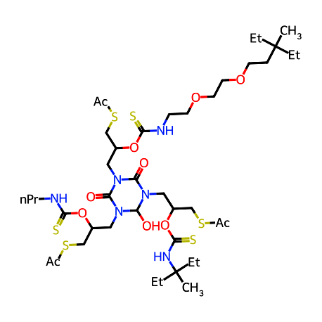 CCCNC(=S)OC(CSC(C)=O)CN1C(=O)N(CC(CSC(C)=O)OC(=S)NCCOCCOCCC(C)(CC)CC)C(=O)N(CC(CSC(C)=O)OC(=S)NC(C)(CC)CC)C1O